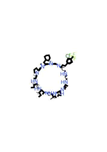 CC[C@H](C)[C@@H]1NC[C@H]([C@@H](C)CC)NC(C)[C@H](C)N2CCCC2=CN(C)C(CC2CCCCC2)=CN(C)C=CN=C(CCc2ccc(C(F)(F)F)c(Cl)c2)CCNCCNC(C)C(C)(C)NC(C)[C@H](C(C)C)N2C(C)[C@@H](C)C2CNC1C